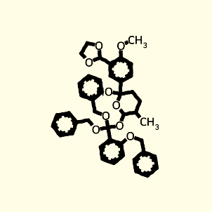 COc1ccc(C2(O)CCC(C)C(OC(OCc3ccccc3)(OCc3ccccc3)c3ccccc3OCc3ccccc3)O2)cc1C1OCCO1